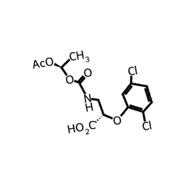 CC(=O)O[C@@H](C)OC(=O)NC[C@H](Oc1cc(Cl)ccc1Cl)C(=O)O